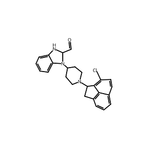 O=CC1Nc2ccccc2N1C1CCN(C2Cc3cccc4ccc(Cl)c2c34)CC1